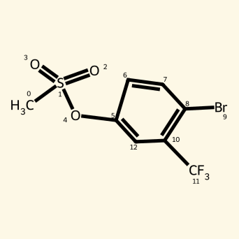 CS(=O)(=O)Oc1ccc(Br)c(C(F)(F)F)c1